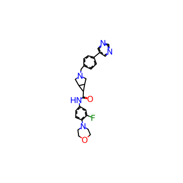 O=C(Nc1ccc(N2CCOCC2)c(F)c1)C1C2CN(Cc3ccc(-c4cncnc4)cc3)CC21